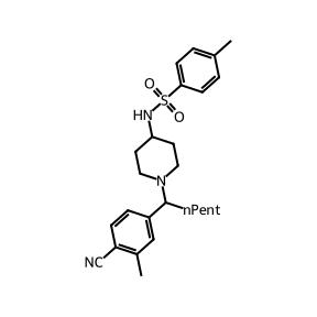 CCCCCC(c1ccc(C#N)c(C)c1)N1CCC(NS(=O)(=O)c2ccc(C)cc2)CC1